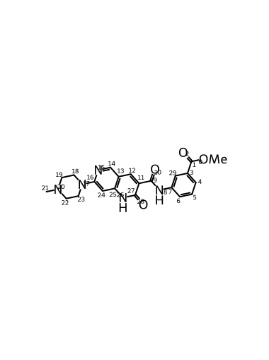 COC(=O)c1cccc(NC(=O)c2cc3cnc(N4CCN(C)CC4)cc3[nH]c2=O)c1